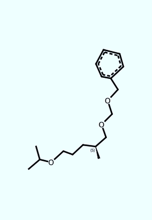 CC(C)OCCC[C@H](C)COCOCc1ccccc1